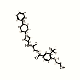 O=C(CNC(=O)c1ccc(NCCO)c(C(F)(F)F)c1)NC1CN(C2CCC(c3ccccc3)CC2)C1